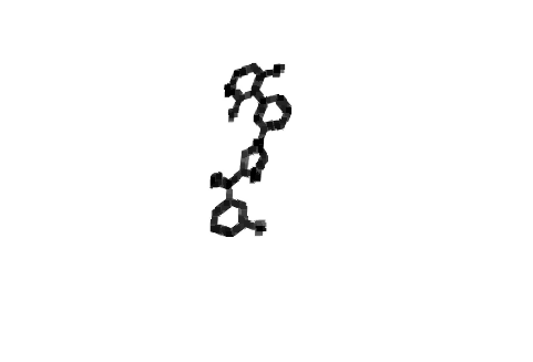 O=C(c1cccc(F)c1)c1cn(-c2cccc(-c3c(F)ccnc3F)c2)cn1